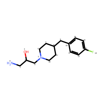 NCC(O)CN1CCC(Cc2ccc(F)cc2)CC1